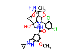 COc1cc(C(=O)NCC(O)(c2cc3c(c(-c4ccc(Cl)cc4Cl)n2)OC[C@]3(C)C(N)=O)C2CC2)cc2cn(C3CC3)nc12